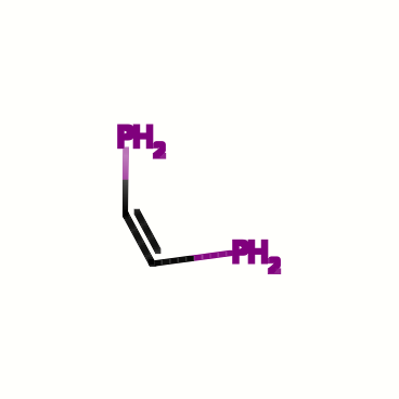 P/C=C\P